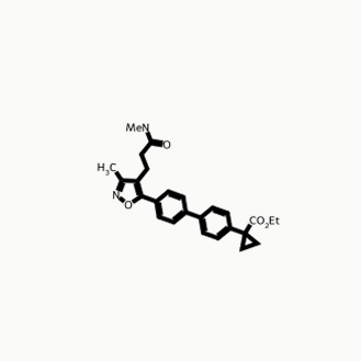 CCOC(=O)C1(c2ccc(-c3ccc(-c4onc(C)c4CCC(=O)NC)cc3)cc2)CC1